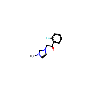 CN1C=CN(CC(=O)c2ccccc2F)C1